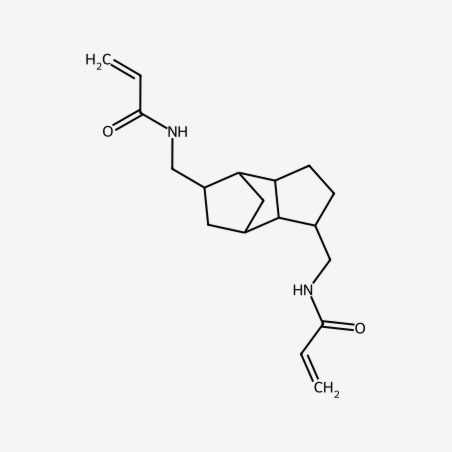 C=CC(=O)NCC1CC2CC1C1CCC(CNC(=O)C=C)C21